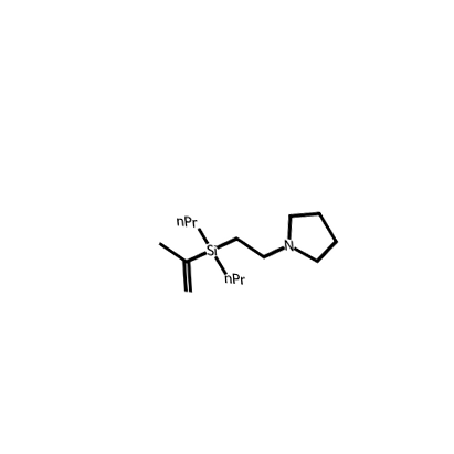 C=C(C)[Si](CCC)(CCC)CCN1CCCC1